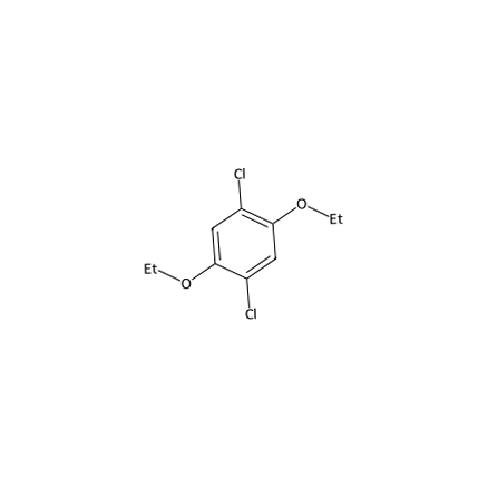 CCOc1cc(Cl)c(OCC)cc1Cl